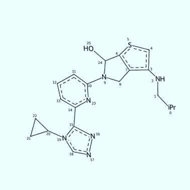 CC(C)CNc1csc2c1CN(c1cccc(-c3nncn3C3CC3)n1)C2O